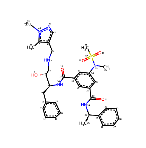 Cc1c(CNC[C@@H](O)[C@H](Cc2ccccc2)NC(=O)c2cc(C(=O)N[C@H](C)c3ccccc3)cc(N(C)S(C)(=O)=O)c2)cnn1C(C)(C)C